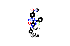 COc1ccc(CN2Cc3nc(-c4c(F)cccc4F)nc(Nc4ccc(C(=O)N5CCC5)cc4)c3C2=O)c(OC)c1